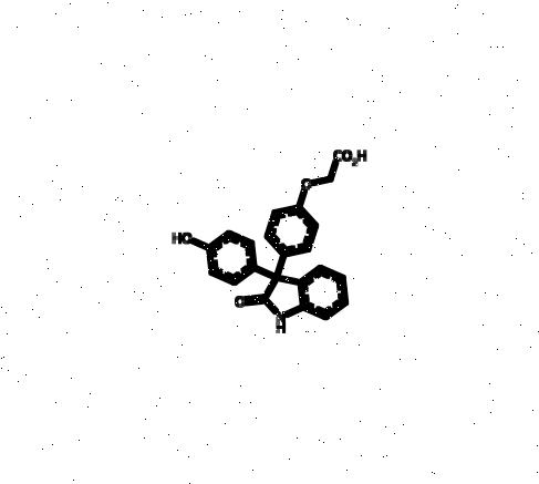 O=C(O)COc1ccc(C2(c3ccc(O)cc3)C(=O)Nc3ccccc32)cc1